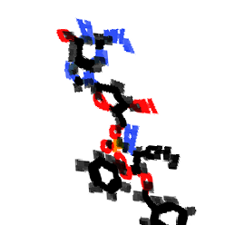 C[C@H](NP(=O)(OCC1O[C@@H](n2cnc3c(=O)[nH]c(N)nc32)C[C@H]1O)Oc1ccccc1)C(=O)OCc1ccccc1